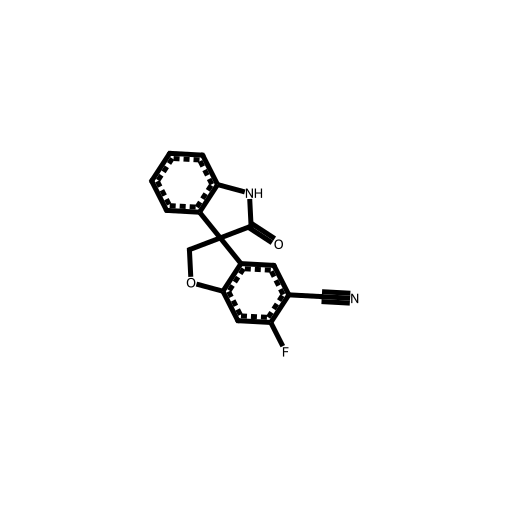 N#Cc1cc2c(cc1F)OCC21C(=O)Nc2ccccc21